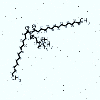 CCCCCCCCCCCCCCC(=O)[PH-](OCC[N+](C)(C)C)C(=O)CCCCCCCCCCCCCC